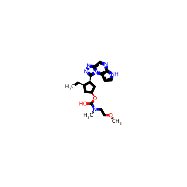 CC[C@@H]1C[C@H](OC(O)N(C)CCOC)C[C@@H]1c1nnc2cnc3[nH]ccc3n12